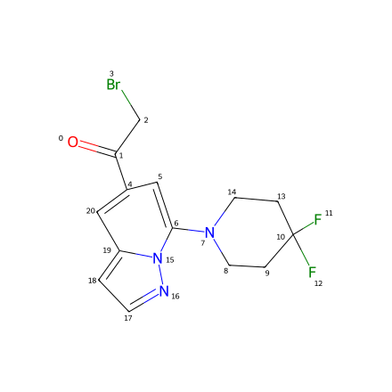 O=C(CBr)c1cc(N2CCC(F)(F)CC2)n2nccc2c1